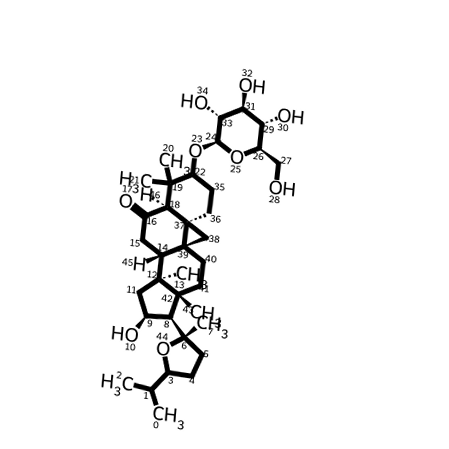 CC(C)C1CC[C@@](C)([C@H]2[C@@H](O)C[C@@]3(C)[C@@H]4CC(=O)[C@H]5C(C)(C)C(O[C@@H]6O[C@H](CO)[C@@H](O)[C@H](O)[C@H]6O)CC[C@@]56C[C@@]46CC[C@]23C)O1